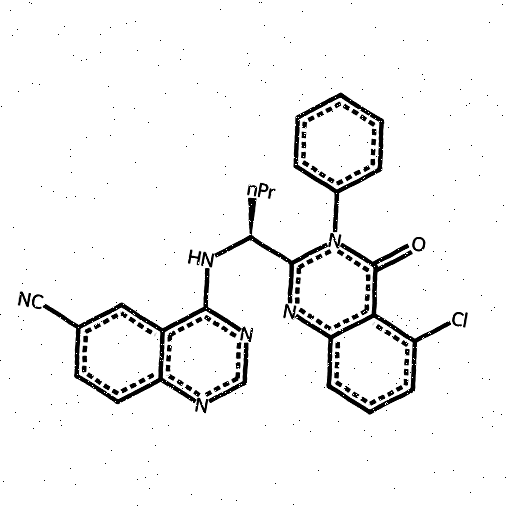 CCC[C@H](Nc1ncnc2ccc(C#N)cc12)c1nc2cccc(Cl)c2c(=O)n1-c1ccccc1